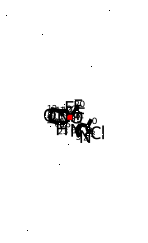 Cc1c(Cl)ncnc1O[C@@H]1CC2COC[C@@H](C1)N2CC(F)(F)F